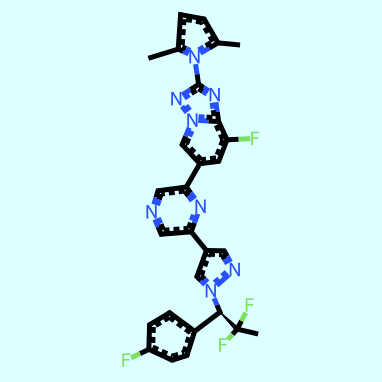 Cc1ccc(C)n1-c1nc2c(F)cc(-c3cncc(-c4cnn([C@H](c5ccc(F)cc5)C(C)(F)F)c4)n3)cn2n1